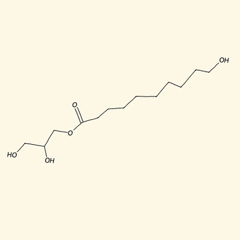 O=C(CCCCCCCCCO)OCC(O)CO